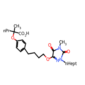 CCCCCCCn1nc(OCCCCc2ccc(OC(C)(CCC)C(=O)O)cc2)c(=O)n(C)c1=O